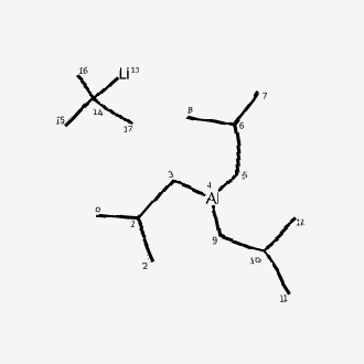 CC(C)[CH2][Al]([CH2]C(C)C)[CH2]C(C)C.[Li][C](C)(C)C